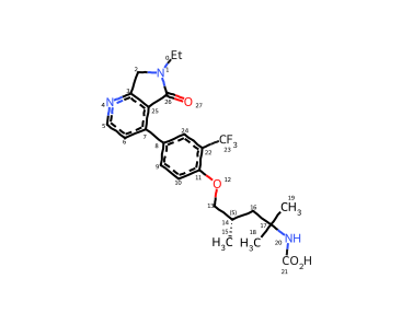 CCN1Cc2nccc(-c3ccc(OC[C@@H](C)CC(C)(C)NC(=O)O)c(C(F)(F)F)c3)c2C1=O